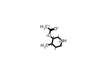 CC(=O)OC1CNCCC1C